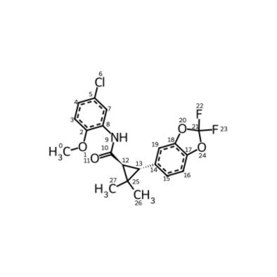 COc1ccc(Cl)cc1NC(=O)[C@H]1[C@H](c2ccc3c(c2)OC(F)(F)O3)C1(C)C